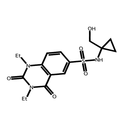 CCn1c(=O)c2cc(S(=O)(=O)NC3(CO)CC3)ccc2n(CC)c1=O